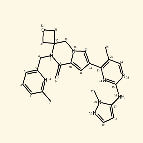 Cc1cccc(CN2C(=O)c3cc(-c4nc(Nc5ccnn5C)ncc4C)cn3CC23COC3)n1